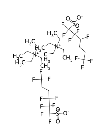 CC[N+](CC)(CC)CC.CC[N+](CC)(CC)CC.O=S(=O)([O-])C(F)(F)C(F)(F)C(F)(F)CCC(F)(F)F.O=S(=O)([O-])C(F)(F)C(F)(F)C(F)CCC(F)(F)F